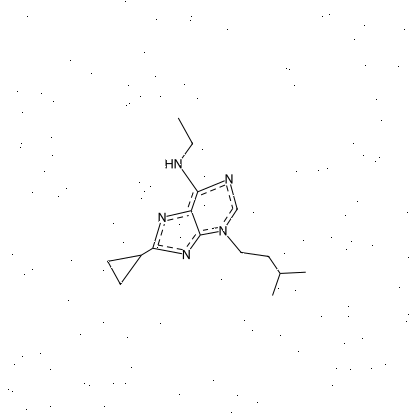 CCNc1ncn(CCC(C)C)c2nc(C3CC3)nc1-2